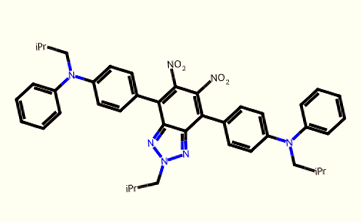 CC(C)CN(c1ccccc1)c1ccc(-c2c([N+](=O)[O-])c([N+](=O)[O-])c(-c3ccc(N(CC(C)C)c4ccccc4)cc3)c3nn(CC(C)C)nc23)cc1